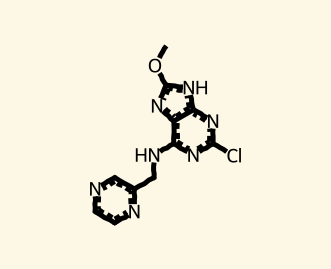 COc1nc2c(NCc3cnccn3)nc(Cl)nc2[nH]1